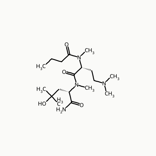 CCCC(=O)N(C)[C@H](CCN(C)C)C(=O)N(C)[C@@H](CC(C)(C)O)C(N)=O